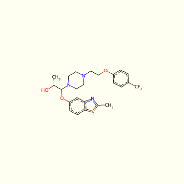 Cc1nc2cc(OC([C@@H](C)O)N3CCN(CCOc4ccc(C(F)(F)F)cc4)CC3)ccc2s1